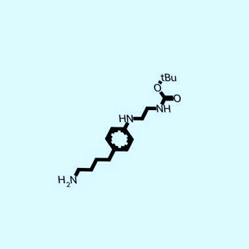 CC(C)(C)OC(=O)NCCNc1ccc(CCCCN)cc1